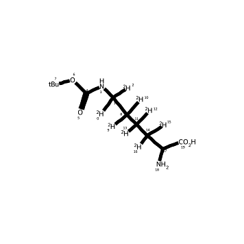 [2H]C([2H])(NC(=O)OC(C)(C)C)C([2H])([2H])C([2H])([2H])C([2H])([2H])C(N)C(=O)O